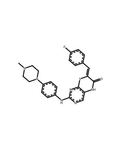 CN1CCN(c2ccc(Nc3ncc4c(n3)SC(=Cc3ccc(F)cc3)C(=O)N4)cc2)CC1